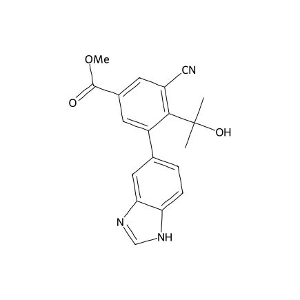 COC(=O)c1cc(C#N)c(C(C)(C)O)c(-c2ccc3[nH]cnc3c2)c1